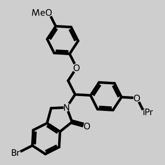 COc1ccc(OCC(c2ccc(OC(C)C)cc2)N2Cc3cc(Br)ccc3C2=O)cc1